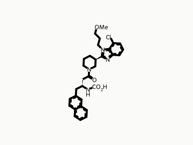 COCCCn1c([C@@H]2CCCN(C(=O)C[C@@H](Cc3ccc4ccccc4c3)NC(=O)O)C2)nc2cccc(Cl)c21